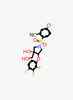 N#Cc1cc(Cl)ccc1S(=O)(=O)N1CC(Oc2ccc(F)c(F)c2F)[C@](O)(CO)C1